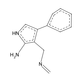 C=NCc1c(-c2ccccc2)c[nH]c1N